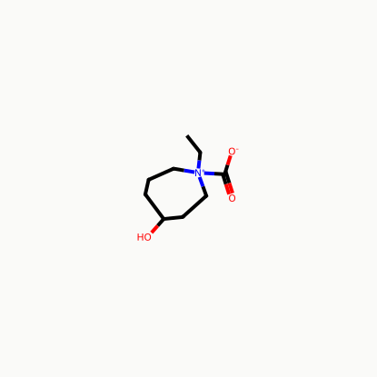 CC[N+]1(C(=O)[O-])CCCC(O)CC1